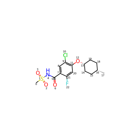 CS(=O)(=O)NC(=O)c1cc(Cl)c(O[C@H]2CC[C@@H](C)CC2)cc1F